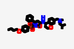 CCCCOc1ccc(S(=O)(=O)NC(CC(=O)NC2CCOc3cc(CN(C)CC(C)C)ccc32)c2ccccc2)cc1